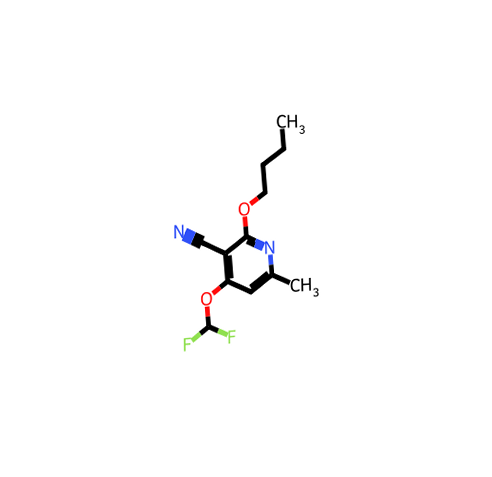 CCCCOc1nc(C)cc(OC(F)F)c1C#N